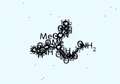 COc1cc2c(cc1OCc1cc(COc3cc4c(cc3OC)C(=O)N3c5ccccc5C[C@H]3CN4)cc(NC(=O)[C@@H](C)NC(=O)[C@H](C)NC(=O)CCCCC(N)=O)c1)N=C[C@@H]1Cc3ccccc3N1C2=O